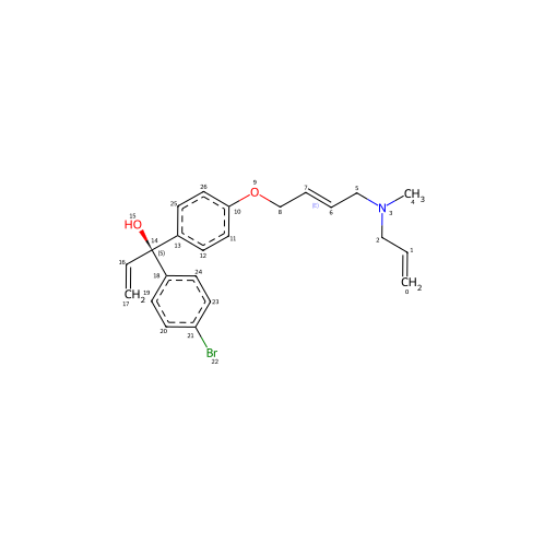 C=CCN(C)C/C=C/COc1ccc([C@@](O)(C=C)c2ccc(Br)cc2)cc1